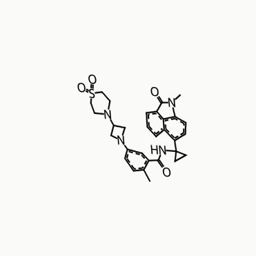 Cc1ccc(N2CC(N3CCS(=O)(=O)CC3)C2)cc1C(=O)NC1(c2ccc3c4c(cccc24)C(=O)N3C)CC1